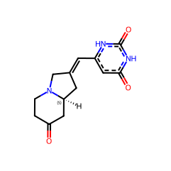 O=C1CCN2CC(=Cc3cc(=O)[nH]c(=O)[nH]3)C[C@H]2C1